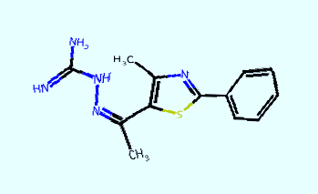 C/C(=N/NC(=N)N)c1sc(-c2ccccc2)nc1C